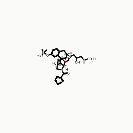 CC(C)(C)[Si](C)(C)Oc1ccc2c(c1)[C@]13CCN(CC(O)CNC(=O)O)[C@H](C2)[C@]12CC[C@@H]1[C@H]3[C@@H](CN1C(=O)c1ccccc1)C2